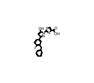 O=C(O)c1csc(-n2nc(-c3ccc(F)c(Cc4ccccc4)c3)cc2O)n1